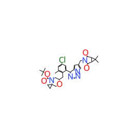 Cc1cc(Cl)cc(-c2ncnn3cc(CN4C(=O)C5C(C4=O)C5(C)C)cc23)c1CC1CN(C(=O)OC(C)(C)C)C2(CC2)CO1